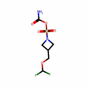 NC(=O)OS(=O)(=O)N1CC(COC(F)F)C1